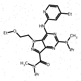 CCOCCn1nc(C(=O)N(C)C(C)C)c2nc(N(C)C(C)C)nc(Nc3cc(CC)ccn3)c21